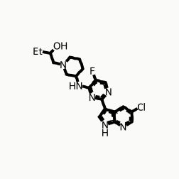 CCC(O)CN1CCCC(Nc2nc(-c3c[nH]c4ncc(Cl)cc34)ncc2F)C1